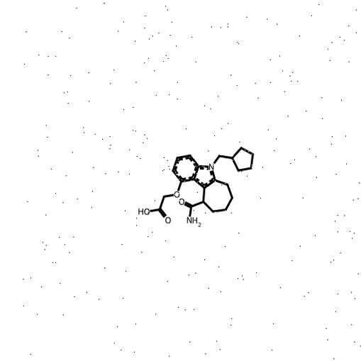 NC(=O)C1CCCCc2c1c1c(OCC(=O)O)cccc1n2CC1CCCC1